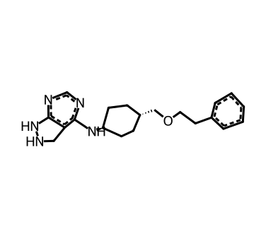 c1ccc(CCOC[C@H]2CC[C@H](Nc3ncnc4c3CNN4)CC2)cc1